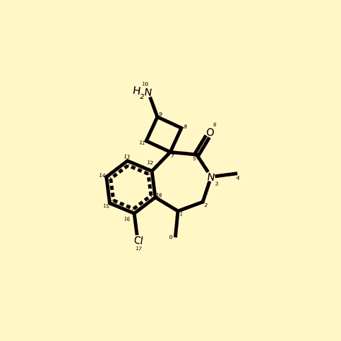 CC1CN(C)C(=O)C2(CC(N)C2)c2cccc(Cl)c21